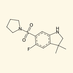 CC1(C)CNc2cc(S(=O)(=O)N3CCCC3)c(F)cc21